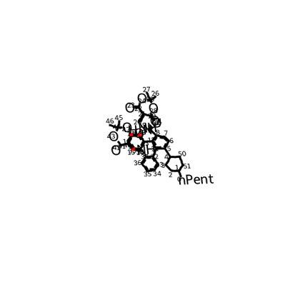 CCCCCC1CCC(c2ccc(C(N)=O)c(-c3ccccc3NC=C3C(=O)OC(C)(C)OC3=O)c2-c2ccccc2NC=C2C(=O)OC(C)(C)OC2=O)CC1